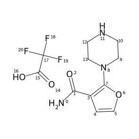 NC(=O)c1ccoc1N1CCNCC1.O=C(O)C(F)(F)F